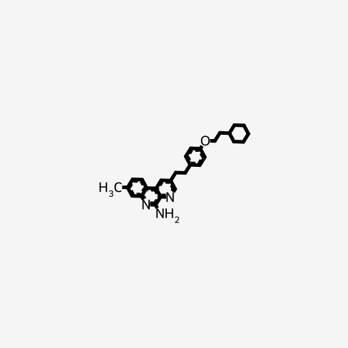 Cc1ccc2c(c1)nc(N)c1ncc(CCc3ccc(OCCC4CCCCC4)cc3)cc12